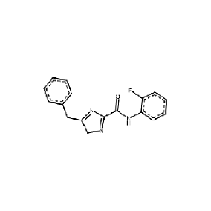 O=C(Nc1ccccc1F)C1=NCC(Cc2ccccc2)=N1